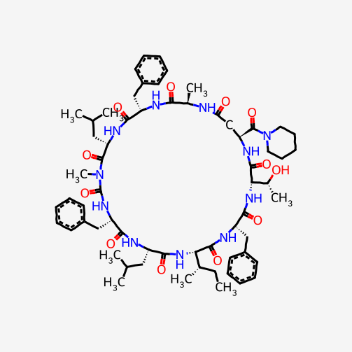 CC[C@H](C)[C@@H]1NC(=O)[C@H](CC(C)C)NC(=O)[C@H](Cc2ccccc2)NC(=O)N(C)C(=O)[C@H](CC(C)C)NC(=O)[C@H](Cc2ccccc2)NC(=O)[C@@H](C)NC(=O)C[C@@H](C(=O)N2CCCCC2)NC(=O)[C@H]([C@@H](C)O)NC(=O)[C@H](Cc2ccccc2)NC1=O